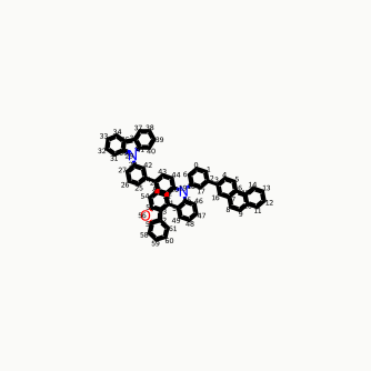 c1cc(-c2ccc3c(ccc4ccccc43)c2)cc(N(c2ccc(-c3cccc(-n4c5ccccc5c5ccccc54)c3)cc2)c2ccccc2-c2cccc3oc4ccccc4c23)c1